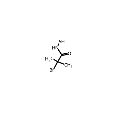 CC(C)(Br)C(=O)NS